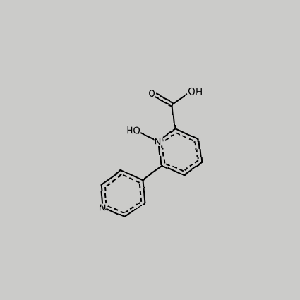 O=C(O)c1cccc(-c2ccncc2)[n+]1O